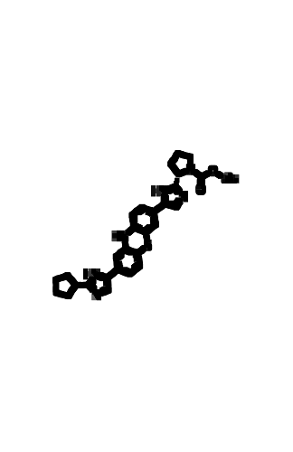 CC(C)(C)OC(=O)N1CCC[C@H]1c1ncc(-c2ccc3c(c2)Sc2ccc(-c4cnc(C5CCCC5)[nH]4)cc2N3)[nH]1